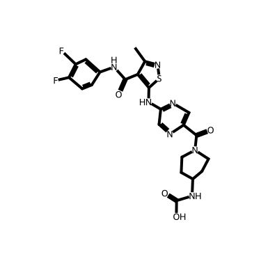 Cc1nsc(Nc2cnc(C(=O)N3CCC(NC(=O)O)CC3)cn2)c1C(=O)Nc1ccc(F)c(F)c1